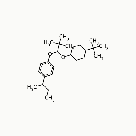 CCC(C)c1ccc(OC(OC2CCC(C(C)(C)C)CC2)C(C)(C)C)cc1